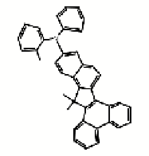 Cc1ccccc1N(c1ccccc1)c1ccc2c3c(ccc2c1)-c1c(c2ccccc2c2ccccc12)C3(C)C